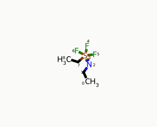 CCN=S(F)(F)(F)CC